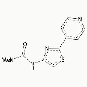 CNC(=O)Nc1csc(-c2ccncc2)n1